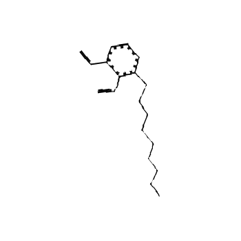 C=Cc1cccc(CCCCCCCCC)c1C=C